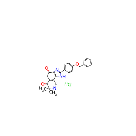 CC1(C)N=CC2=C(CC(=O)c3nc(-c4ccc(OCc5ccccc5)cc4)[nH]c32)C1=O.Cl